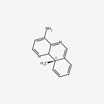 C[C@]12C=CC=CC1=CN=C1C(N)=CC=NC12